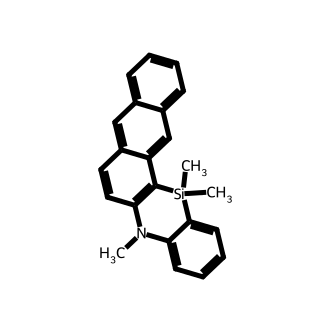 CN1c2ccccc2[Si](C)(C)c2c1ccc1cc3ccccc3cc21